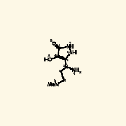 CNCCN(N)c1[nH][nH]c(=O)c1O